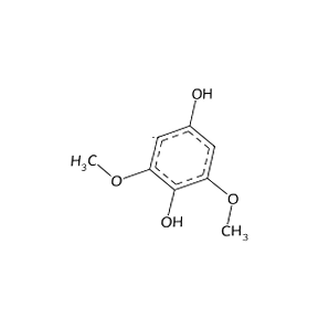 COc1[c]c(O)cc(OC)c1O